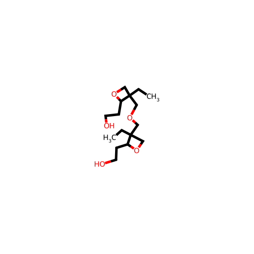 CCC1(COCC2(CC)COC2CCO)COC1CCO